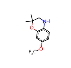 CC1(C)CNc2ccc(OC(F)(F)F)cc2O1